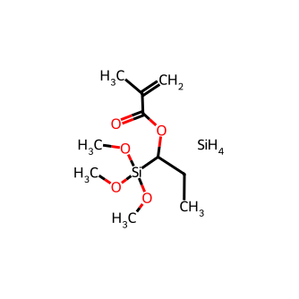 C=C(C)C(=O)OC(CC)[Si](OC)(OC)OC.[SiH4]